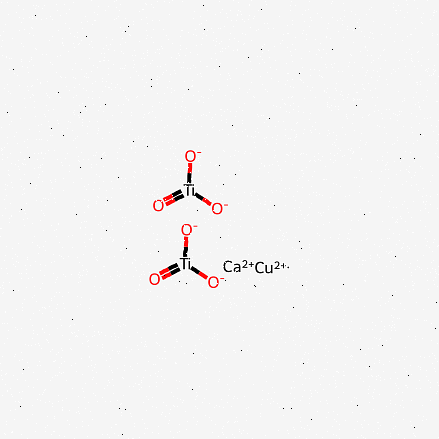 [Ca+2].[Cu+2].[O]=[Ti]([O-])[O-].[O]=[Ti]([O-])[O-]